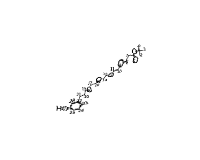 CC(C)(C)OC(=O)CCOCCOCCOCCOCCCc1cccc(O)c1